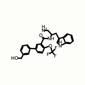 NCC(Cc1c[nH]c2ccccc12)NC(=O)c1cc(-c2cccc(CO)c2)ccc1OC(F)(F)F